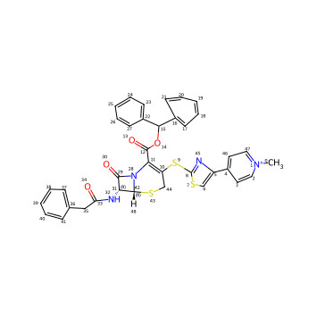 C[n+]1ccc(-c2csc(SC3=C(C(=O)OC(c4ccccc4)c4ccccc4)N4C(=O)[C@@H](NC(=O)Cc5ccccc5)[C@H]4SC3)n2)cc1